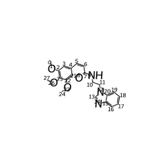 COc1cc(/C=C\C(=O)NCCn2cnc3ccccc32)cc(OC)c1OC